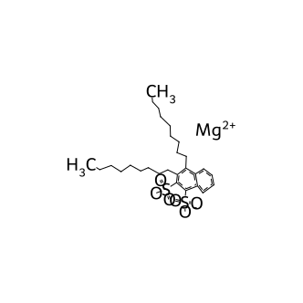 CCCCCCCCCc1c(S(=O)(=O)[O-])c(S(=O)(=O)[O-])c2ccccc2c1CCCCCCCCC.[Mg+2]